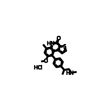 CNCC(C)c1ccc(-c2c(OC)cc(C)c3[nH]c(=O)c4sccc4c23)cc1.Cl